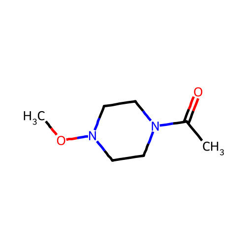 CON1CCN(C(C)=O)CC1